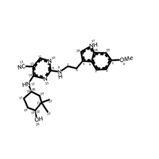 COc1ccc2c(CCNc3ncc(C#N)c(N[C@@H]4CC[C@H](O)C(C)(C)C4)n3)c[nH]c2c1